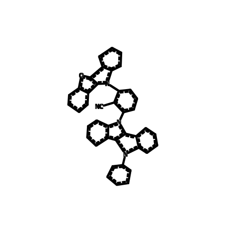 N#Cc1c(-n2c3ccccc3c3oc4ccccc4c32)cccc1-n1c2ccccc2c2c1c1ccccc1n2-c1ccccc1